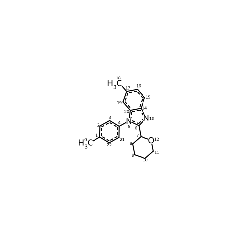 Cc1ccc(-n2c(C3CCCCO3)nc3ccc(C)cc32)cc1